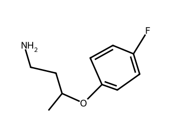 CC(CCN)Oc1ccc(F)cc1